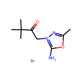 Cc1n[n+](CC(=O)C(C)(C)C)c(N)o1.[Br-]